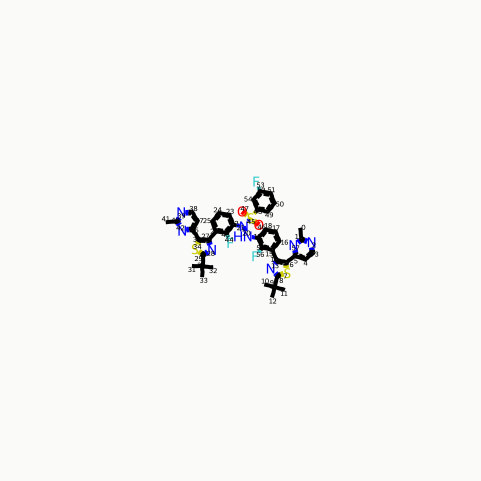 Cc1nccc(-c2sc(C(C)(C)C)nc2-c2cccc(NN(c3cccc(-c4nc(C(C)(C)C)sc4-c4ccnc(C)n4)c3F)S(=O)(=O)c3cccc(F)c3)c2F)n1